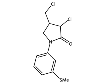 CSc1cccc(N2CC(CCl)C(Cl)C2=O)c1